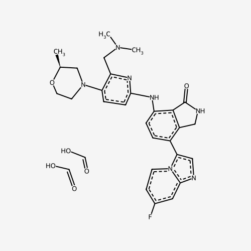 C[C@H]1CN(c2ccc(Nc3ccc(-c4cnc5cc(F)ccn45)c4c3C(=O)NC4)nc2CN(C)C)CCO1.O=CO.O=CO